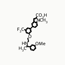 COc1cccc([C@@H](C)NCCOc2cc(-c3ccc4c(c3)cc(C(=O)O)n4C)cc(C(F)(F)F)c2)c1